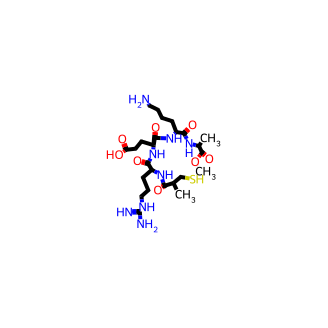 COC(=O)C(C)NC(=O)C(CCCCN)NC(=O)C(CCC(=O)O)NC(=O)C(CCCNC(=N)N)NC(=O)C(C)CS